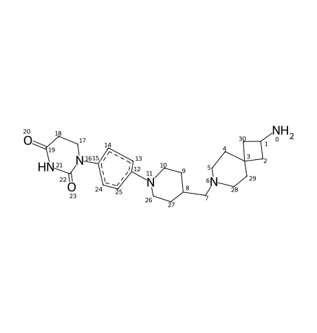 NC1CC2(CCN(CC3CCN(c4ccc(N5CCC(=O)NC5=O)cc4)CC3)CC2)C1